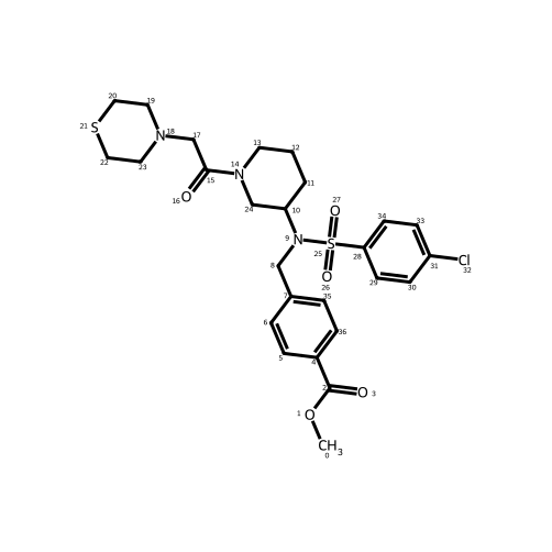 COC(=O)c1ccc(CN(C2CCCN(C(=O)CN3CCSCC3)C2)S(=O)(=O)c2ccc(Cl)cc2)cc1